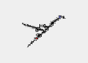 CCCCC=CCCCCCCCC(=O)OCCCCN(CCCCOC(=O)CCCCCCCC=CCCCC)CCCN(CCO)CCCCOC(=O)CCCCCCC/C=C\CCCC